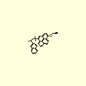 C#CCOc1ccc2cc(C(C)(C)CC(C)c3ccc4ccccc4c3)c3cccc4ccc1c2c43